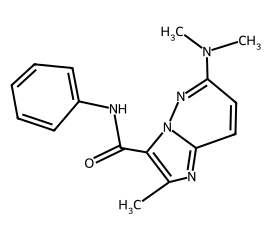 Cc1nc2ccc(N(C)C)nn2c1C(=O)Nc1ccccc1